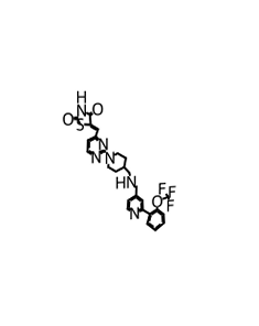 O=C1NC(=O)/C(=C/c2ccnc(N3CCC(CNCc4ccnc(-c5ccccc5OC(F)(F)F)c4)CC3)n2)S1